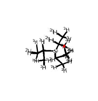 [2H]C([2H])([2H])C([2H])([Si](C([2H])(C([2H])([2H])[2H])C([2H])([2H])[2H])C([2H])(C([2H])([2H])[2H])C([2H])([2H])[2H])C([2H])([2H])[2H]